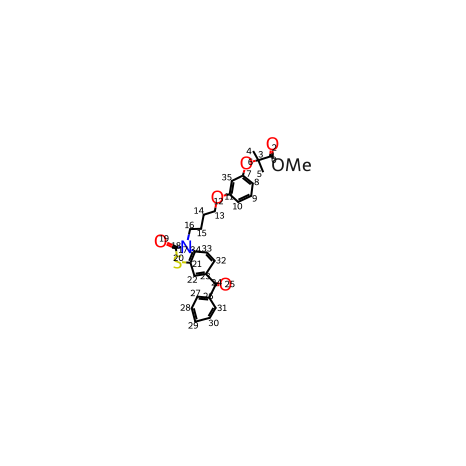 COC(=O)C(C)(C)Oc1cccc(OCCCCn2c(=O)sc3cc(C(=O)c4ccccc4)ccc32)c1